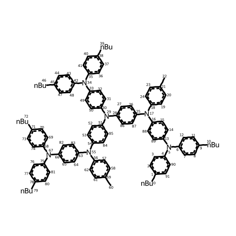 CCCCc1ccc(N(c2ccc(CCCC)cc2)c2ccc(N(c3ccc(C)cc3)c3ccc(N(c4ccc(N(c5ccc(CCCC)cc5)c5ccc(CCCC)cc5)cc4)c4ccc(N(c5ccc(C)cc5)c5ccc(N(c6ccc(CCCC)cc6)c6ccc(CCCC)cc6)cc5)cc4)cc3)cc2)cc1